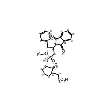 CCOP(=O)(CC(Cc1ccccc1)N1C(=O)c2ccccc2C1=O)N[C@H]1CCCN(CC(=O)O)C1=O